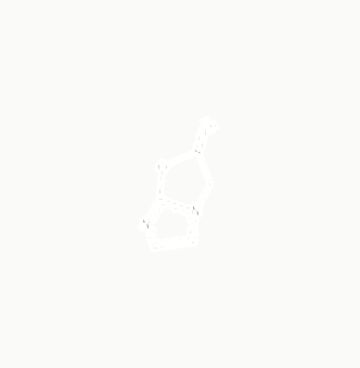 [Se]=C1Cn2ccnc2O1